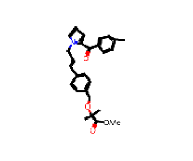 COC(=O)C(C)(C)OCc1ccc(/C=C/Cn2cccc2C(=O)c2ccc(C)cc2)cc1